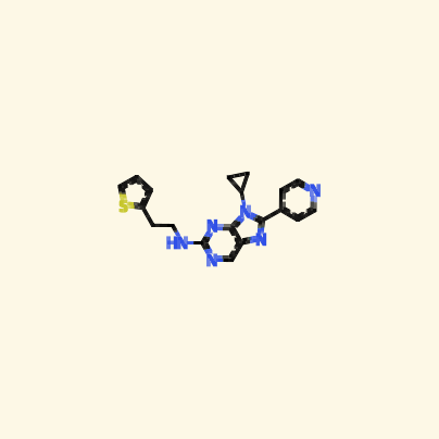 c1csc(CCNc2ncc3nc(-c4ccncc4)n(C4CC4)c3n2)c1